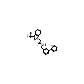 O=C(Cn1nc(C(F)(F)F)c2c1CCCC2)NCc1cccc(-c2ccccn2)c1